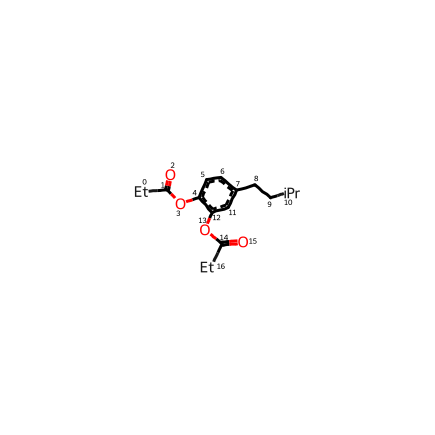 CCC(=O)Oc1ccc(CCC(C)C)cc1OC(=O)CC